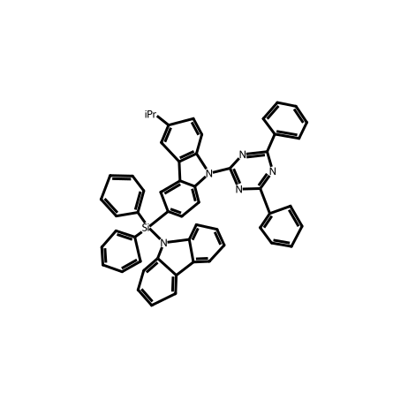 CC(C)c1ccc2c(c1)c1cc([Si](c3ccccc3)(c3ccccc3)n3c4ccccc4c4ccccc43)ccc1n2-c1nc(-c2ccccc2)nc(-c2ccccc2)n1